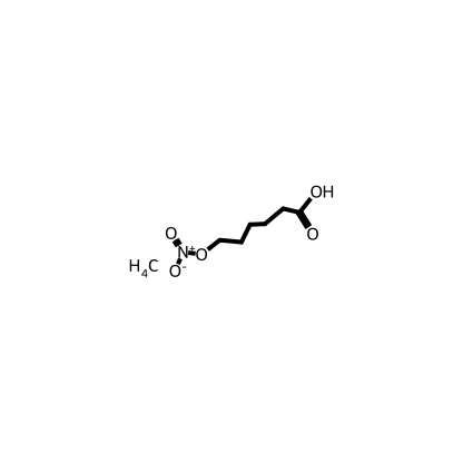 C.O=C(O)CCCCCO[N+](=O)[O-]